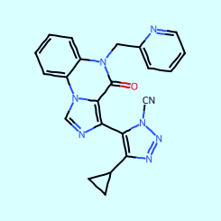 N#Cn1nnc(C2CC2)c1-c1ncn2c1c(=O)n(Cc1ccccn1)c1ccccc12